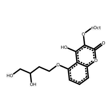 CCCCCCCCOc1c(O)c2c(OCCC(O)CO)cccc2oc1=O